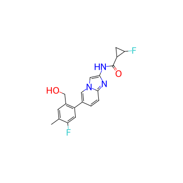 Cc1cc(CO)c(-c2ccc3nc(NC(=O)C4CC4F)cn3c2)cc1F